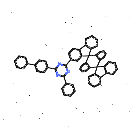 c1ccc(-c2ccc(-c3nc(-c4ccccc4)nc(-c4ccc5c(c4)C4(c6ccccc6-5)c5ccccc5C5(c6ccccc6-c6ccccc65)c5ccccc54)n3)cc2)cc1